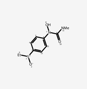 CC[S+]([O-])c1ccc(N(O)C(=O)NC)cc1